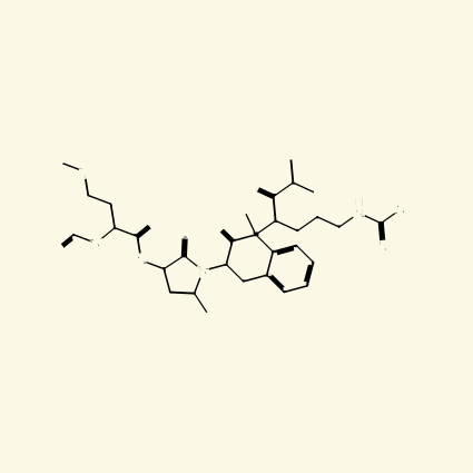 CSCCC(NC=O)C(=O)NC1CC(C)N(C2Cc3ccccc3C(C)(C(CCCNC(=N)N)C(=O)C(C)C)C2=O)C1=O